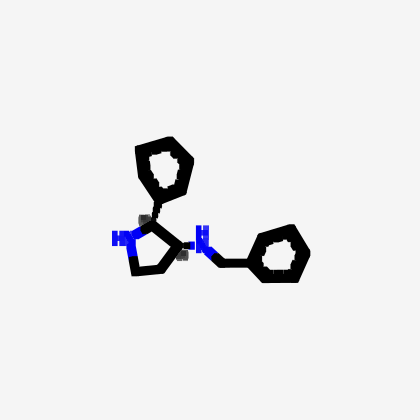 c1ccc(CN[C@@H]2CCN[C@@H]2c2ccccc2)cc1